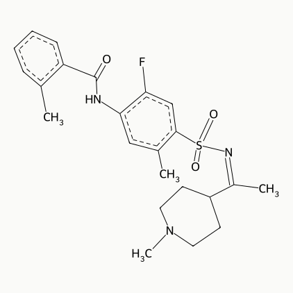 C/C(=N/S(=O)(=O)c1cc(F)c(NC(=O)c2ccccc2C)cc1C)C1CCN(C)CC1